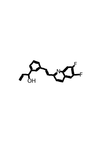 C=CC(O)c1cccc(C=Cc2ccc3cc(F)c(F)cc3n2)c1